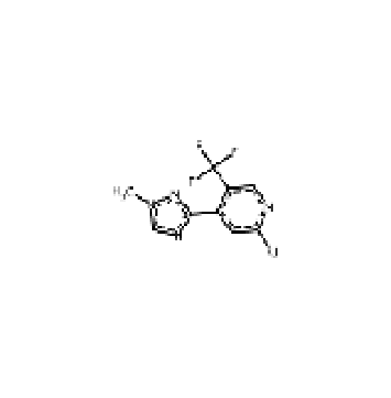 Cn1cnc(-c2cc(Cl)ncc2C(F)(F)F)n1